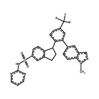 Cn1ncc2cc(-c3cc(C(F)(F)F)ccc3C3CCc4cc(S(=O)(=O)Nc5ncccn5)ccc43)ccc21